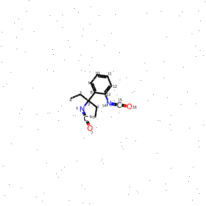 CCC(CC)(N=C=O)c1ccccc1N=C=O